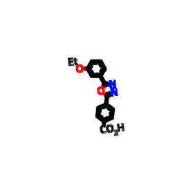 CCOc1cccc(-c2nnc(-c3ccc(C(=O)O)cc3)o2)c1